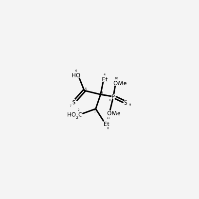 CCC(C(=O)O)C(CC)(C(O)=S)P(=S)(OC)OC